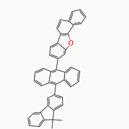 CC1(C)c2ccccc2-c2cc(-c3c4ccccc4c(-c4ccc5c(c4)oc4c6ccccc6ccc54)c4ccccc34)ccc21